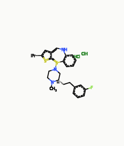 CC(C)c1cc2c(s1)=S(N1CCN(C)[C@@H](CCc3cccc(F)c3)C1)c1ccccc1NC=2.Cl.Cl